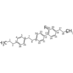 CCCc1ccc(CCc2ccc(-c3ccc(CCC)cc3F)cc2)cc1